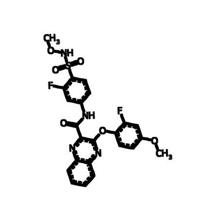 CONS(=O)(=O)c1ccc(NC(=O)c2nc3ccccc3nc2Oc2ccc(OC)cc2F)cc1F